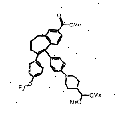 COC(=O)c1ccc2c(c1)CCCC(c1ccc(OC(F)(F)F)cc1)=C2c1ccc(N2CCC(C(OC)OC)CC2)cc1